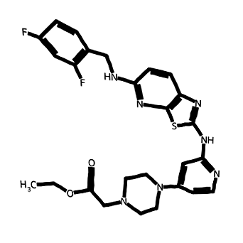 CCOC(=O)CN1CCN(c2ccnc(Nc3nc4ccc(NCc5ccc(F)cc5F)nc4s3)c2)CC1